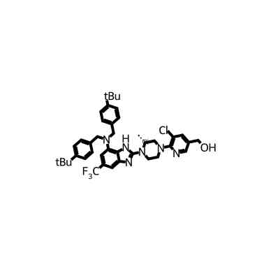 C[C@@H]1CN(c2ncc(CO)cc2Cl)CCN1c1nc2cc(C(F)(F)F)cc(N(Cc3ccc(C(C)(C)C)cc3)Cc3ccc(C(C)(C)C)cc3)c2[nH]1